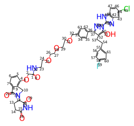 O=C(COc1cccc2c1CN(C1CCC(=O)NC1=O)C2=O)NCCOCCOCCOCc1ccc(-c2nn(-c3nc4cc(Cl)ccc4[nH]3)c(O)c2CCc2ccc(F)cc2)cc1